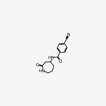 N#Cc1ccc(C(=O)NC2CCCNC(=O)C2)cc1